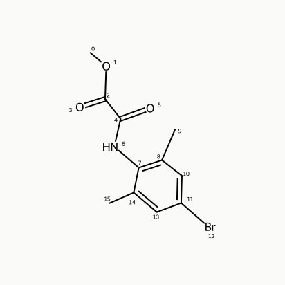 COC(=O)C(=O)Nc1c(C)cc(Br)cc1C